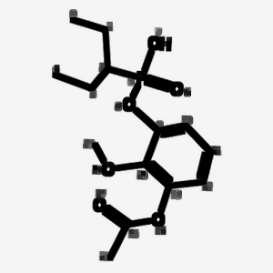 CCC(CC)P(=O)(O)Oc1cccc(OC(C)=O)c1OC